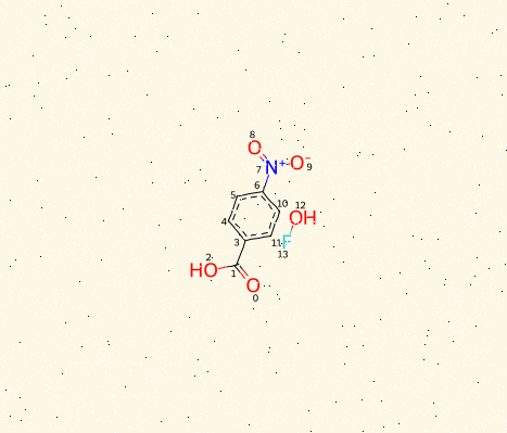 O=C(O)c1ccc([N+](=O)[O-])cc1.OF